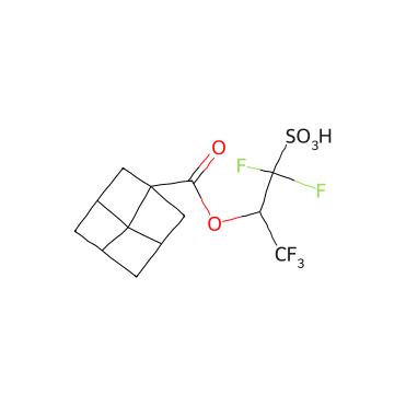 O=C(OC(C(F)(F)F)C(F)(F)S(=O)(=O)O)C12CC3CC4CC(C1)C432